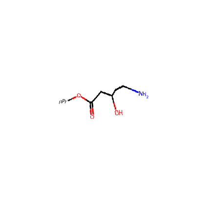 CCCOC(=O)CC(O)CN